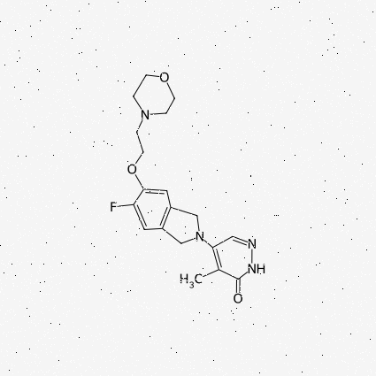 Cc1c(N2Cc3cc(F)c(OCCN4CCOCC4)cc3C2)cn[nH]c1=O